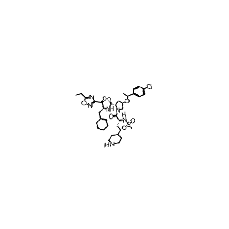 CCc1nc(C(=O)[C@H](CC2CCCCC2)NC(=O)[C@@H]2C[C@@H](OC(C)c3ccc(Cl)cc3)CN2C(=O)[C@@H](CCC2CCNCC2)NS(C)(=O)=O)no1